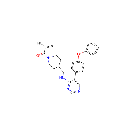 C=C(C#N)C(=O)N1CCC(CNc2ncncc2-c2ccc(Oc3ccccc3)cc2)CC1